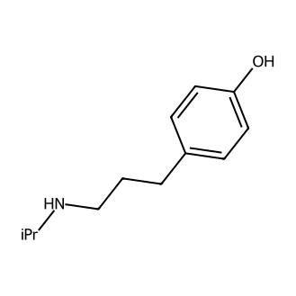 CC(C)NCCCc1ccc(O)cc1